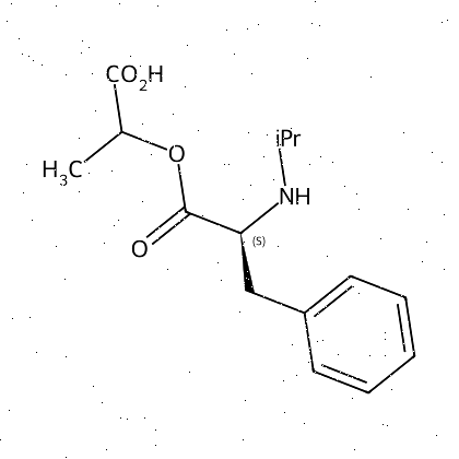 CC(C)N[C@@H](Cc1ccccc1)C(=O)OC(C)C(=O)O